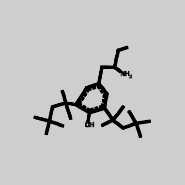 CCC(N)Cc1cc(C(C)(C)CC(C)(C)C)c(O)c(C(C)(C)CC(C)(C)C)c1